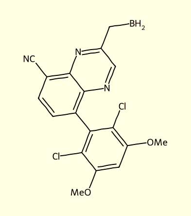 BCc1cnc2c(-c3c(Cl)c(OC)cc(OC)c3Cl)ccc(C#N)c2n1